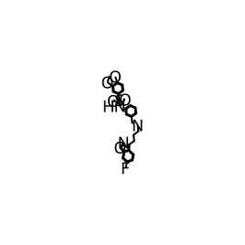 CN(CCCc1noc2cc(F)ccc12)Cc1cccc(NS(=O)(=O)c2ccc3c(c2)OCO3)c1